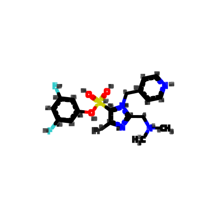 CC(C)c1nc(CN(C)C)n(Cc2ccncc2)c1S(=O)(=O)Oc1cc(F)cc(F)c1